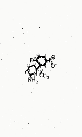 CC[C@@]1(c2cc([N+](=O)[O-])ccc2F)CCOC(N)=N1